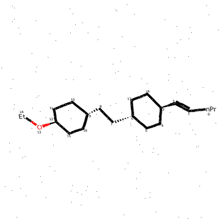 CCCC=C[C@H]1CC[C@H](CC[C@H]2CC[C@H](OCC)CC2)CC1